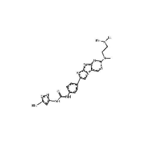 CCN(CC)CCN(C)c1ncc2c(n1)sc1nc(-c3ccc(NC(=O)Nc4cc(C(C)(C)C)on4)cc3)cn12